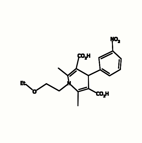 CCOCCN1C(C)=C(C(=O)O)C(c2cccc([N+](=O)[O-])c2)C(C(=O)O)=C1C